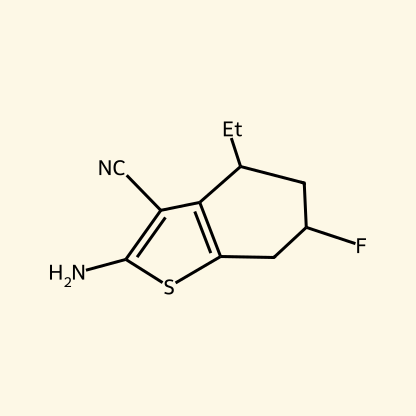 CCC1CC(F)Cc2sc(N)c(C#N)c21